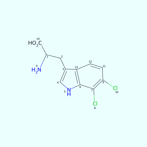 NC(Cc1c[nH]c2c(Cl)c(Cl)ccc12)C(=O)O